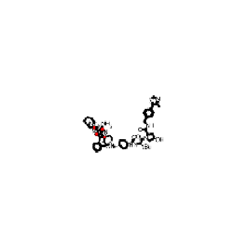 Cc1ncsc1-c1ccc(CNC(=O)C2C[C@@H](O)CN2C(=O)[C@@H](NC(=O)[C@H]2CC[C@@H](CN3CCC(c4cnc(N5C6CCC5CN(c5cc(-c7ccccc7O)nnc5N)C6)nc4)CC3)CC2)C(C)(C)C)cc1